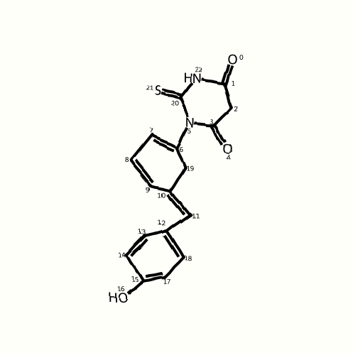 O=C1CC(=O)N(C2=CC=CC(=Cc3ccc(O)cc3)C2)C(=S)N1